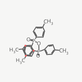 Cc1ccc(P(=O)(OP(=O)(c2ccc(C)cc2)c2ccc(C)cc2)c2ccc(C)cc2)cc1